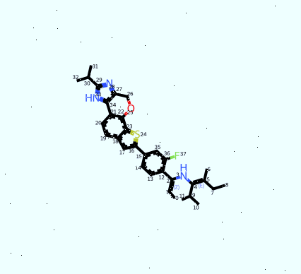 C/C=C(\N/C(=C(\C)CC)C(C)C)c1ccc(-c2cc3ccc4c(c3s2)OCc2nc(C(C)C)[nH]c2-4)cc1F